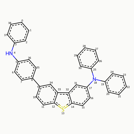 c1ccc(Nc2ccc(-c3ccc4sc5ccc(N(c6ccccc6)c6ccccc6)cc5c4c3)cc2)cc1